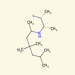 CC(C)CC(C)(C)CC(C)N[C@@H](C)[C@@H](C)I